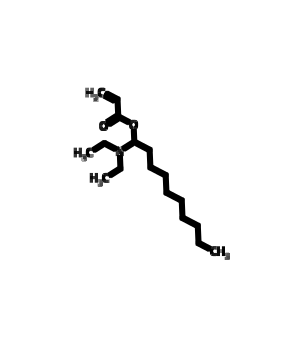 C=CC(=O)OC(CCCCCCCCC)N(CC)CC